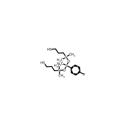 C[Si](C)(CCCS)O[Si](C)(O[Si](C)(C)CCCS)c1ccc(F)cc1